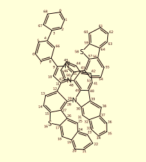 c1ccc(-c2cccc(-c3cc(-c4ccc5sc6cc7ccccc7cc6c5c4-n4c5cc6ccccc6cc5c5ccc6ccccc6c54)nc(-c4cccc5c4sc4ccccc45)n3)c2)cc1